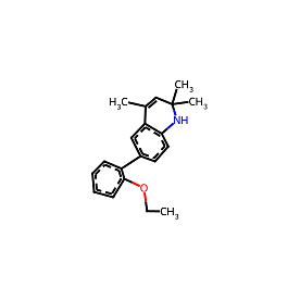 CCOc1ccccc1-c1ccc2c(c1)C(C)=CC(C)(C)N2